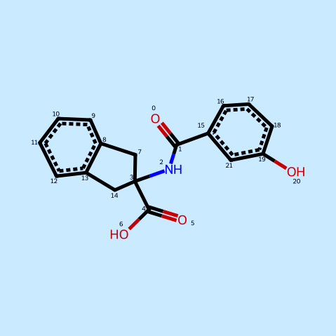 O=C(NC1(C(=O)O)Cc2ccccc2C1)c1cccc(O)c1